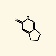 O=c1cc2c(n[nH]1)OCC2